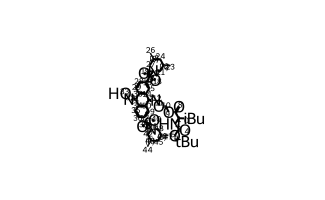 CCC(C)C(NC(=O)OC(C)(C)C)C(=O)OCON=C1c2cc(S(=O)(=O)N3C[C@H](C)C[C@H](C)C3)ccc2C(=NO)c2ccc(S(=O)(=O)N3C[C@H](C)C[C@H](C)C3)cc21